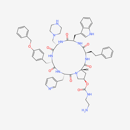 NCCNC(=O)O[C@@H]1C[C@H]2C(=O)N[C@H](CCc3ccccc3)C(=O)N[C@H](Cc3c[nH]c4ccccc34)C(=O)N[C@@H](CN3CCNCC3)C(=O)N[C@@H](Cc3ccc(OCc4ccccc4)cc3)C(=O)N[C@@H](Cc3cccnc3)C(=O)N2C1